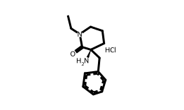 CCN1CCC[C@](N)(Cc2ccccc2)C1=O.Cl